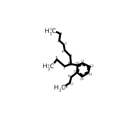 CCCCCC[C](CCC)c1ccccc1CCC